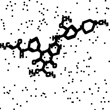 C=CC(=O)Nc1cccc(-n2c(=O)n(C(C)C)c(=O)c3cnc(Nc4ccc(N5CCN(C)CC5)cc4OC)nc32)c1